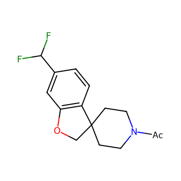 CC(=O)N1CCC2(CC1)COc1cc(C(F)F)ccc12